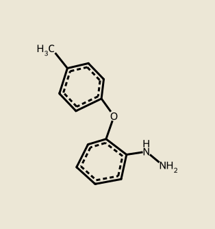 Cc1ccc(Oc2ccccc2NN)cc1